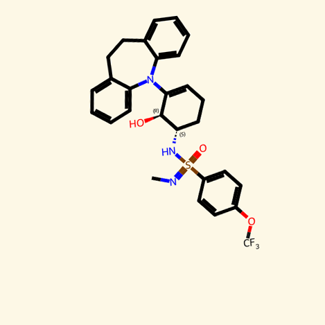 CN=S(=O)(N[C@H]1CCC=C(N2c3ccccc3CCc3ccccc32)[C@@H]1O)c1ccc(OC(F)(F)F)cc1